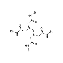 CCNC(=O)CN(CC(=O)NCC)CN(CC(=O)NCC)CC(=O)NCC